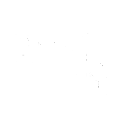 CC1(COc2cc(F)c(C(=N)N[C@H](C(=O)O)C3CC3)cc2C2CC2)CN([C@H](c2ccccc2)c2cc(Cl)cc(Cl)c2)C1